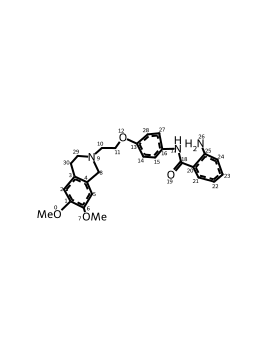 COc1cc2c(cc1OC)CN(CCOc1ccc(NC(=O)c3ccccc3N)cc1)CC2